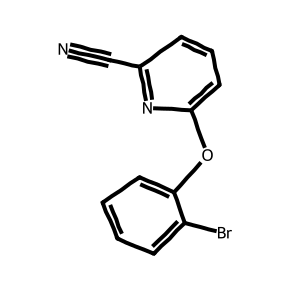 N#Cc1cccc(Oc2ccccc2Br)n1